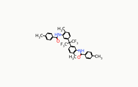 Cc1ccc(C(=O)Nc2cc(C(c3ccc(C)c(NC(=O)c4ccc(C)cc4)c3)(C(F)(F)F)C(F)(F)F)ccc2C)cc1